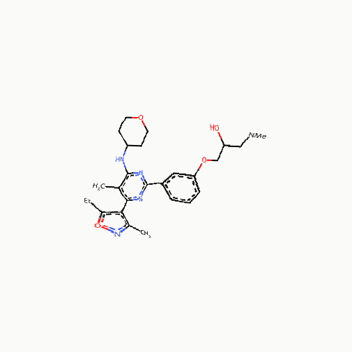 CCc1onc(C)c1-c1nc(-c2cccc(OCC(O)CNC)c2)nc(NC2CCOCC2)c1C